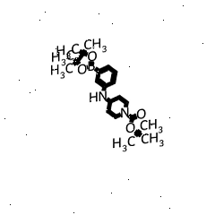 CC(C)(C)OC(=O)N1CCC(Nc2cccc(B3OC(C)(C)C(C)(C)O3)c2)CC1